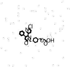 O=C(O)COC[C@H]1CC[C@H](Cn2nc(-c3ccc(Cl)nc3)c(-c3ccccc3)cc2=O)CC1